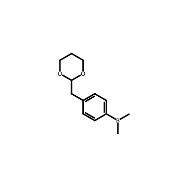 CB(C)c1ccc(CC2OCCCO2)cc1